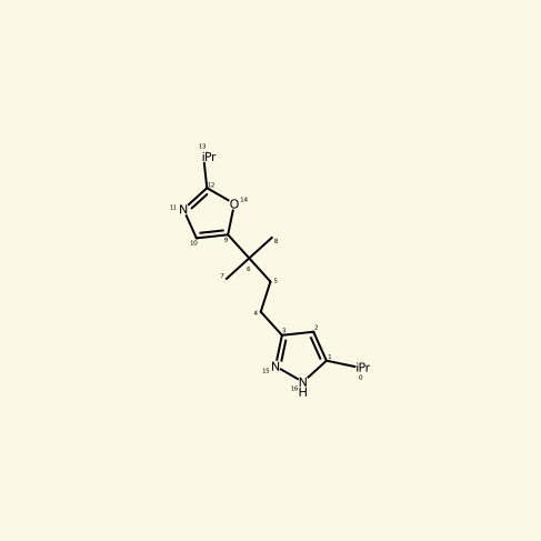 CC(C)c1cc(CCC(C)(C)c2cnc(C(C)C)o2)n[nH]1